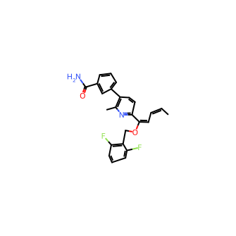 C/C=C\C=C(\OCc1c(F)cccc1F)c1ccc(-c2cccc(C(N)=O)c2)c(C)n1